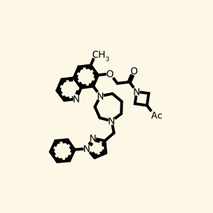 CC(=O)C1CN(C(=O)COc2c(C)cc3cccnc3c2N2CCCN(Cc3ccn(-c4ccccc4)n3)CC2)C1